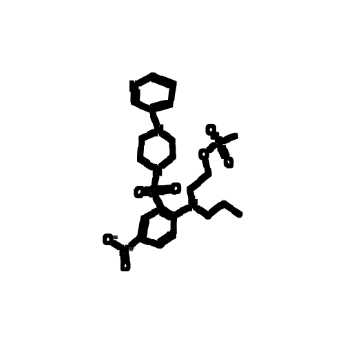 CCCN(CCOS(C)(=O)=O)c1ccc([N+](=O)[O-])cc1S(=O)(=O)N1CCN(c2cccnc2)CC1